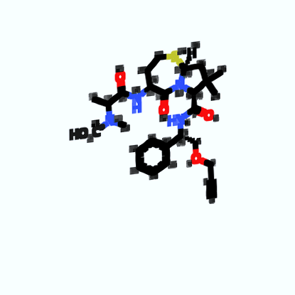 C#CCOC[C@@H](NC(=O)[C@H]1N2C(=O)[C@@H](NC(=O)C(C)N(C)C(=O)O)CCS[C@H]2CC1(C)C)c1ccccc1